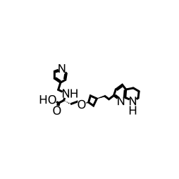 O=C(O)[C@@H](CCO[C@H]1C[C@H](CCc2ccc3c(n2)NCCC3)C1)NCc1ccncc1